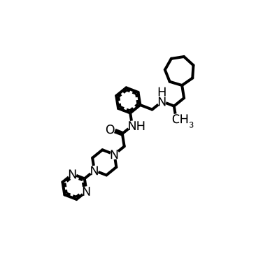 CC(CC1CCCCCC1)NCc1ccccc1NC(=O)CN1CCN(c2ncccn2)CC1